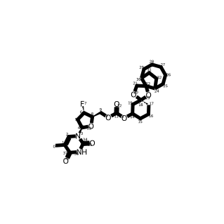 Cc1cn([C@H]2C[C@H](F)[C@@H](COC(=O)OC3CCC[C@]4(C3)OCC3(O4)C4CCCCCC3CC4)O2)c(=O)[nH]c1=O